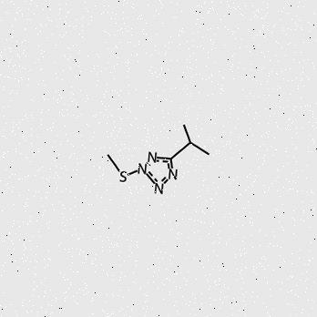 CSn1nnc(C(C)C)n1